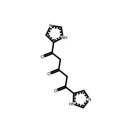 O=C(CC(=O)c1cnc[nH]1)CC(=O)c1cnc[nH]1